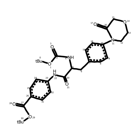 CC(C)(C)OC(=O)NC(Cc1ccc(N2CCOCC2=O)cc1)C(=O)Nc1ccc(C(=O)OC(C)(C)C)cc1